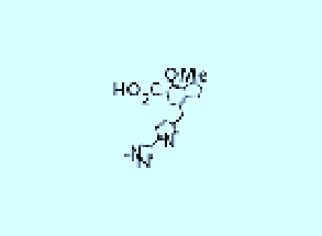 COc1c(C(=O)O)cc(Cc2ccc(-c3cnn(C)c3)nc2)c2c1CCC2